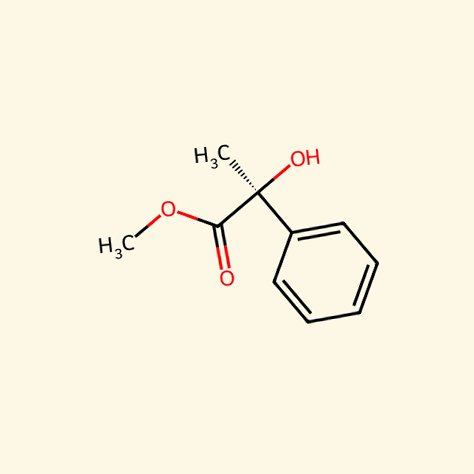 COC(=O)[C@@](C)(O)c1ccccc1